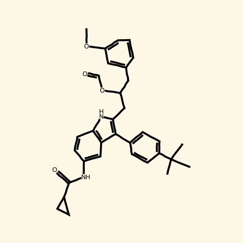 COc1cccc(CC(Cc2[nH]c3ccc(NC(=O)C4CC4)cc3c2-c2ccc(C(C)(C)C)cc2)OC=O)c1